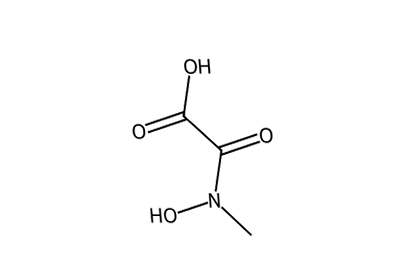 CN(O)C(=O)C(=O)O